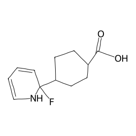 O=C(O)C1CCC(C2(F)C=CC=CN2)CC1